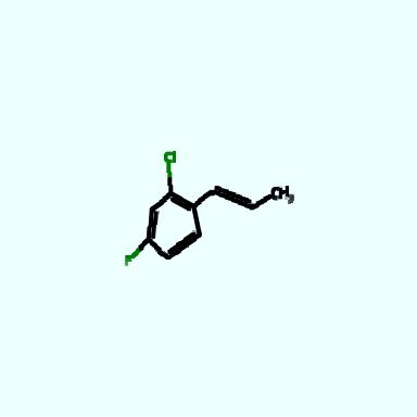 C/C=C/c1ccc(F)cc1Cl